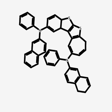 C1=Cc2cc(N(C3=Cc4c(sc5c4C4C=C(N(c6ccccc6)c6ccc7ccccc7c6)C=CC4S5)CC=C3)c3ccccc3)ccc2CC1